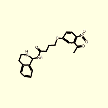 CC(=O)c1cc(OCCCC(=O)NC2NCCc3ccccc32)ccc1[N+](=O)[O-]